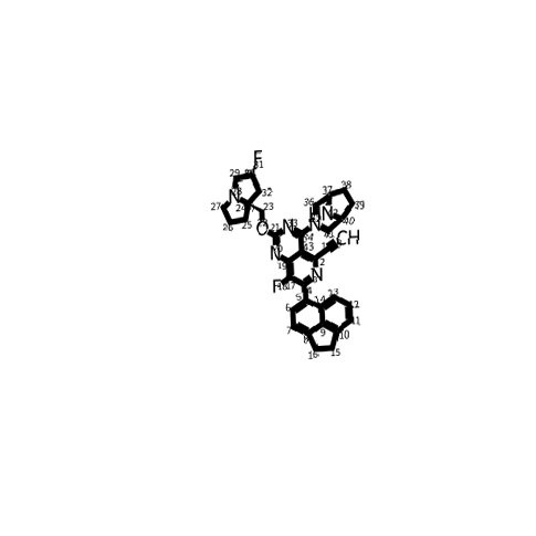 C#Cc1nc(-c2ccc3c4c(cccc24)CC3)c(F)c2nc(OC[C@@]34CCCN3C[C@H](F)C4)nc(N3CC4CCC(C3)N4)c12